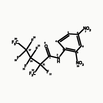 O=C(Nc1ccc([N+](=O)[O-])cc1[N+](=O)[O-])C(F)(C(F)(F)F)C(F)(F)C(F)(F)C(F)(F)F